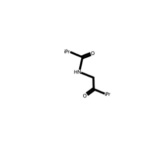 CC(C)C(=O)CNC(=O)C(C)C